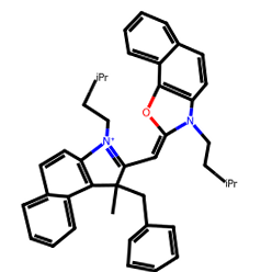 CC(C)CCN1/C(=C/C2=[N+](CCC(C)C)c3ccc4ccccc4c3C2(C)Cc2ccccc2)Oc2c1ccc1ccccc21